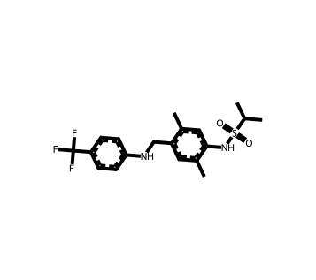 Cc1cc(NS(=O)(=O)C(C)C)c(C)cc1CNc1ccc(C(F)(F)F)cc1